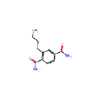 CCCCc1cc(C(N)=O)ccc1C(N)=O